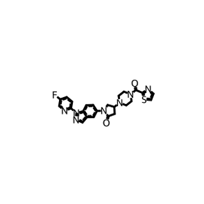 O=C(c1nccs1)N1CCN(C2CC(=O)N(c3ccc4c(cnn4-c4ccc(F)cn4)c3)C2)CC1